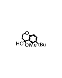 COC1(O)CCOc2ccc(C(C)(C)C)cc21